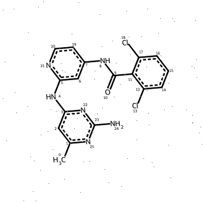 Cc1cc(Nc2cc(NC(=O)c3c(Cl)cccc3Cl)ccn2)nc(N)n1